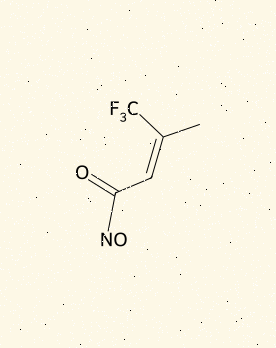 C/C(=C/C(=O)N=O)C(F)(F)F